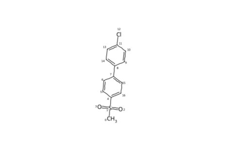 CS(=O)(=O)c1[c]cc(-c2ccc(Cl)cc2)cc1